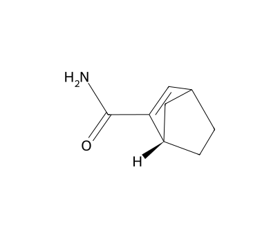 NC(=O)C1=CC2CC[C@H]1C2